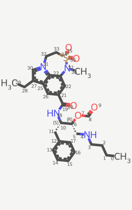 CCCCNC[C@@H](OC=O)[C@H](Cc1ccccc1)NC(=O)c1cc2c3c(c1)c(CC)cn3CCS(=O)(=O)N2C